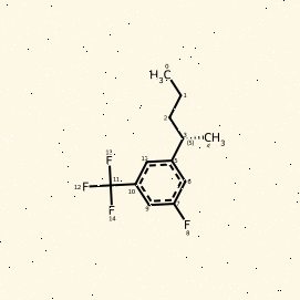 CCC[C@H](C)c1cc(F)cc(C(F)(F)F)c1